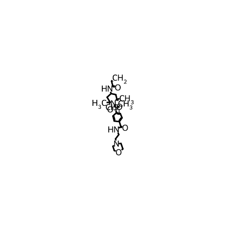 C=CC(=O)NC1CC(C)(C)N(S(=O)(=O)c2ccc(C(=O)NCCN3CCOCC3)cc2)C(C)(C)C1